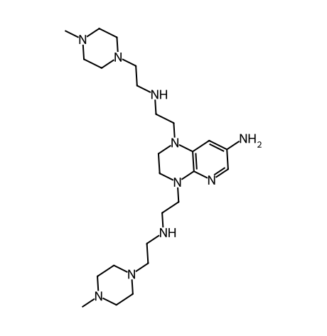 CN1CCN(CCNCCN2CCN(CCNCCN3CCN(C)CC3)c3ncc(N)cc32)CC1